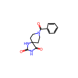 O=C1NC(=O)C2(CCN(C(=O)c3ccccc3)CC2)N1